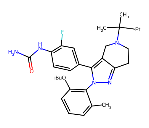 CCC(C)(C)N1CCc2nn(-c3c(C)cccc3OCC(C)C)c(-c3ccc(NC(N)=O)c(F)c3)c2C1